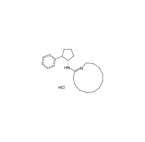 Cl.c1ccc(C2CCC[C@@H]2N/C2=N\CCCCCCCCCCC2)cc1